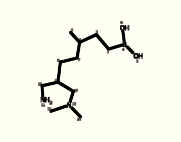 CC(CCB(O)O)CCC(CN)CN(C)C